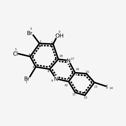 Oc1c(Br)c(Cl)c(Br)c2nc3ccc(I)cc3nc12